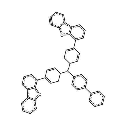 c1ccc2c(c#1)oc1c(C3=CCC(N(c4ccc(-c5ccccc5)cc4)C4C=CC(c5cccc6c5oc5ccccc56)=CC4)C=C3)cccc12